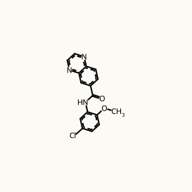 COc1ccc(Cl)cc1NC(=O)c1ccc2nccnc2c1